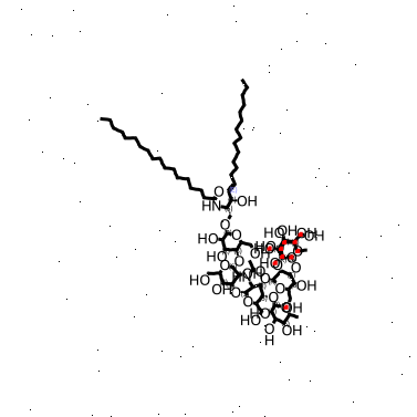 CCCCCCCCCCCCC/C=C/[C@@H](O)[C@H](CO[C@@H]1OC(CO)[C@@H](O[C@@H]2OC(CO)[C@H](O)[C@H](O[C@@H]3OC(CO)[C@@H](O[C@H]4OC(C)[C@@H](O)C(O)[C@@H]4O)[C@H](O[C@@H]4OC(CO)[C@H](O)[C@H](O[C@H]5OC(CO)[C@H](O)[C@H](O)C5O)C4O[C@H]4OC(C)[C@@H](O)C(O)[C@@H]4O)C3NC(C)=O)C2O)[C@H](O)C1O)NC(=O)CCCCCCCCCCCCCCCCC